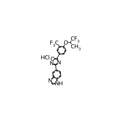 C[C@@H](Oc1ccc(-c2nc(-c3ccc4[nH]cnc4c3)no2)cc1C(F)(F)F)C(F)(F)F.Cl